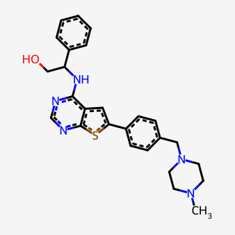 CN1CCN(Cc2ccc(-c3cc4c(NC(CO)c5ccccc5)ncnc4s3)cc2)CC1